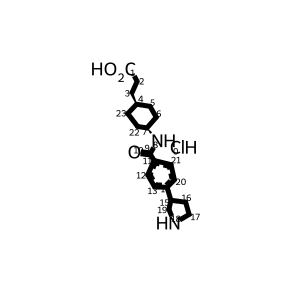 Cl.O=C(O)CC[C@H]1CC[C@H](NC(=O)c2ccc(C3CCNC3)cc2)CC1